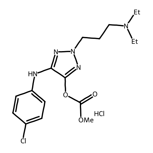 CCN(CC)CCCn1nc(Nc2ccc(Cl)cc2)c(OC(=O)OC)n1.Cl